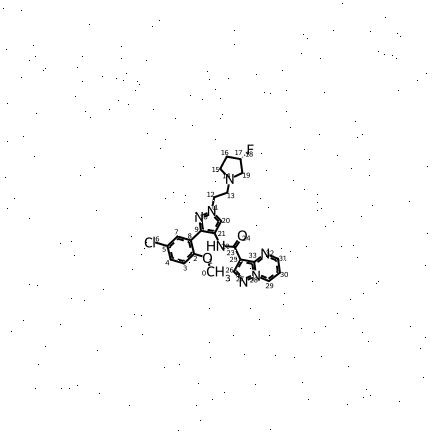 COc1ccc(Cl)cc1-c1nn(CCN2CC[C@H](F)C2)cc1NC(=O)c1cnn2cccnc12